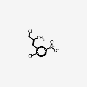 C/C(=C\c1cc([N+](=O)[O-])ccc1Cl)CCl